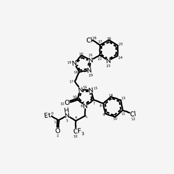 CCC(=O)NC(Cn1c(-c2ccc(Cl)cc2)nn(Cc2ncn(-c3ncccc3Cl)n2)c1=O)C(F)(F)F